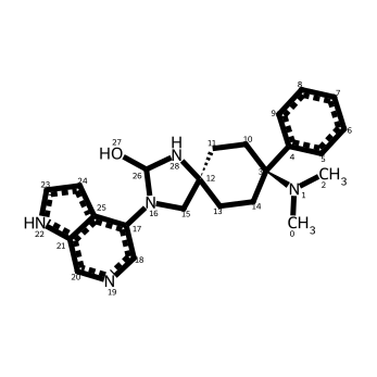 CN(C)[C@]1(c2ccccc2)CC[C@]2(CC1)CN(c1cncc3[nH]ccc13)C(O)N2